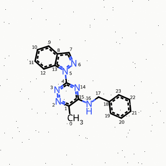 Cc1nnc(-n2ncc3ccccc32)nc1NCc1ccccc1